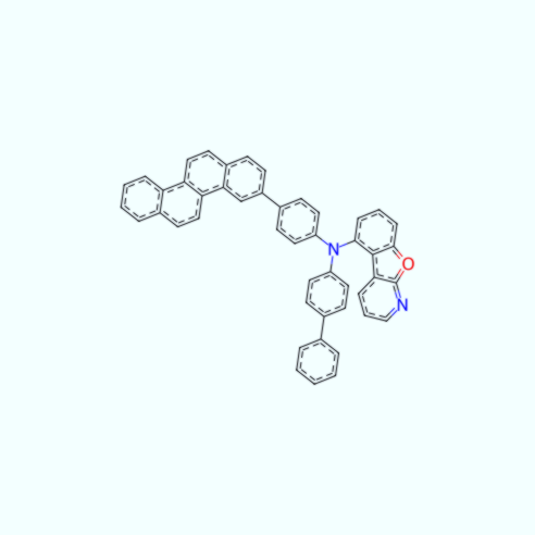 c1ccc(-c2ccc(N(c3ccc(-c4ccc5ccc6c7ccccc7ccc6c5c4)cc3)c3cccc4oc5ncccc5c34)cc2)cc1